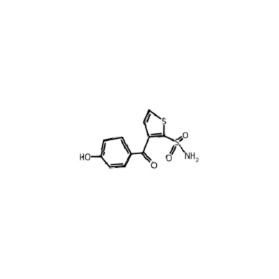 NS(=O)(=O)c1sccc1C(=O)c1ccc(O)cc1